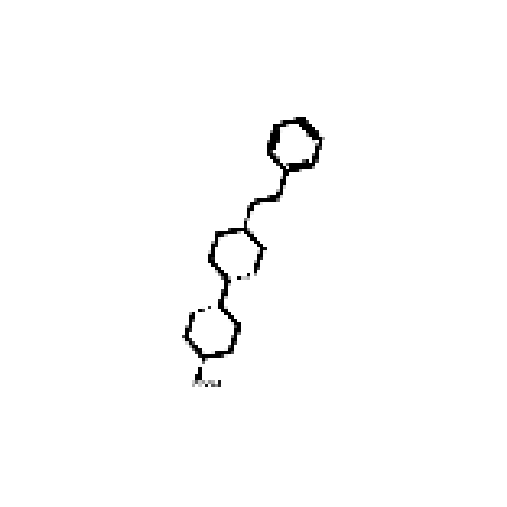 CCCCC[C@H]1CC[C@H]([C@H]2CC[C@H](CCc3ccccc3)CC2)CC1